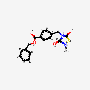 CCn1sc(=O)n(Cc2ccc(C(=O)OCc3ccccc3)cc2)c1=O